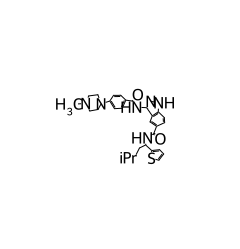 CC(C)CC(NC(=O)c1ccc2[nH]nc(NC(=O)c3ccc(N4CCN(C)CC4)cc3)c2c1)c1cccs1